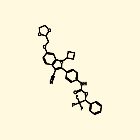 N#Cc1c(-c2ccc(NC(=O)OC(c3ccccc3)C(F)(F)F)cc2)n(C2CCC2)c2cc(OCC3OCCO3)ccc12